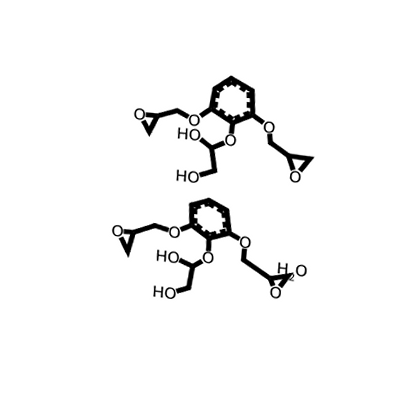 O.OCC(O)Oc1c(OCC2CO2)cccc1OCC1CO1.OCC(O)Oc1c(OCC2CO2)cccc1OCC1CO1